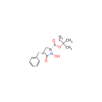 CC(C)(C)OC(=O)[C@H]1C[C@@H](Cc2ccccc2)C(=O)N1O